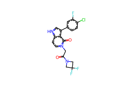 O=C(Cn1ccc2[nH]cc(-c3ccc(Cl)c(F)c3)c2c1=O)N1CC(F)(F)C1